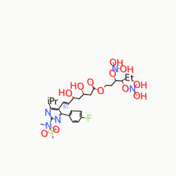 CCC(ON(O)O)C(CCOC(=O)CC(O)CC(O)/C=C/c1c(-c2ccc(F)cc2)nc(N(C)S(C)(=O)=O)nc1C(C)C)ON(O)O